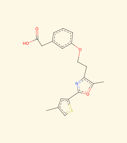 Cc1csc(-c2nc(CCOc3cccc(CC(=O)O)c3)c(C)o2)c1